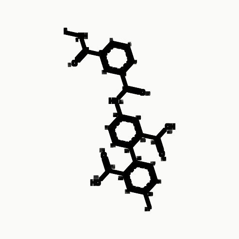 CNC(=O)c1cccc(C(=O)Nc2ccc(-c3ccc(C)cc3C(=O)O)c(C(=O)O)c2)c1